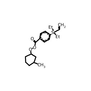 C=C[Si](CC)(CC)c1ccc(C(=O)OO[C]2CCCC(C)C2)cc1